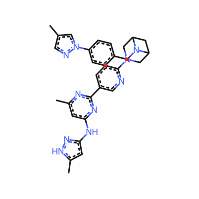 Cc1cnn(-c2ccc(CN3C4CC3CN(c3ccc(-c5nc(C)cc(Nc6cc(C)[nH]n6)n5)cn3)C4)cc2)c1